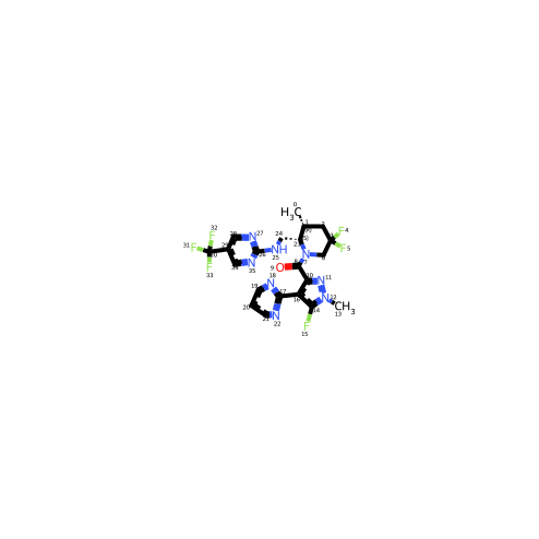 C[C@@H]1CC(F)(F)CN(C(=O)c2nn(C)c(F)c2-c2ncccn2)[C@@H]1CNc1ncc(C(F)(F)F)cn1